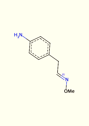 CO/N=C/Cc1ccc(N)cc1